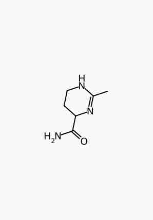 CC1=NC(C(N)=O)CCN1